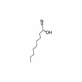 CCCCCCCC[C@H](O)C#N